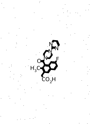 Cc1c(CC(=O)O)cc2ccc(F)cc2c1C(=O)N1CCN(c2ncccn2)CC1